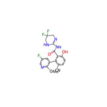 COc1ncc(F)cc1-c1c(C#N)ccc(O)c1C(=O)NC1=NCC(F)(F)CN1